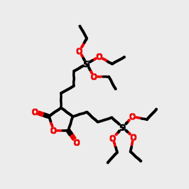 CCO[Si](CCCC1C(=O)OC(=O)C1CCC[Si](OCC)(OCC)OCC)(OCC)OCC